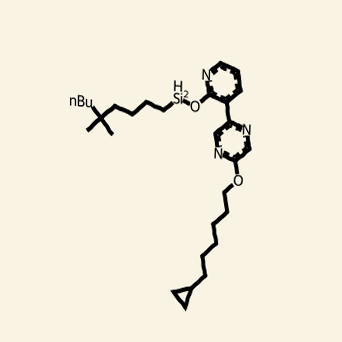 CCCCC(C)(C)CCCC[SiH2]Oc1ncccc1-c1cnc(OCCCCCCC2CC2)cn1